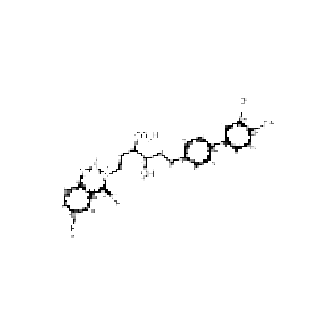 O=C(O)C(CCn1nnc2ccc(F)cc2c1=O)C(O)CCc1ccc(-c2ccc(F)c(F)c2)cc1